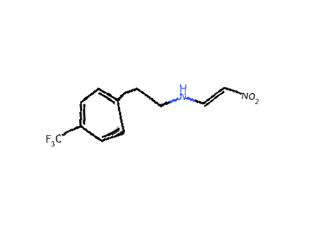 O=[N+]([O-])C=CNCCc1ccc(C(F)(F)F)cc1